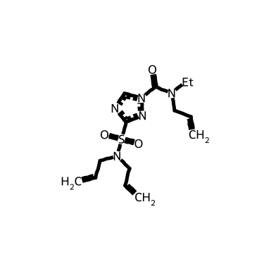 C=CCN(CC)C(=O)n1cnc(S(=O)(=O)N(CC=C)CC=C)n1